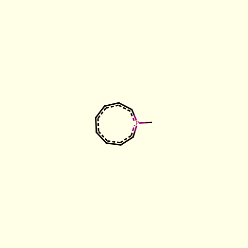 Cp1cccccccc1